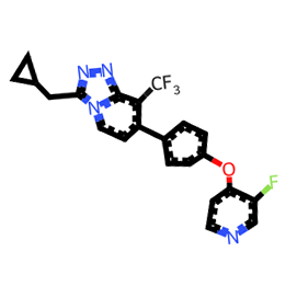 Fc1cnccc1Oc1ccc(-c2ccn3c(CC4CC4)nnc3c2C(F)(F)F)cc1